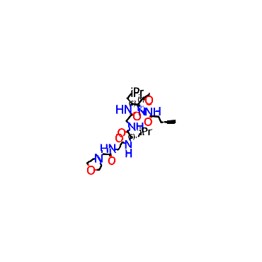 C#CCCC(=O)N/N=C(/[C@H](CC(C)C)NC(=O)CNC(=O)[C@H](CC(C)C)NC(=O)CNC(=O)CN1CCOCC1)[C@@]1(C)CO1